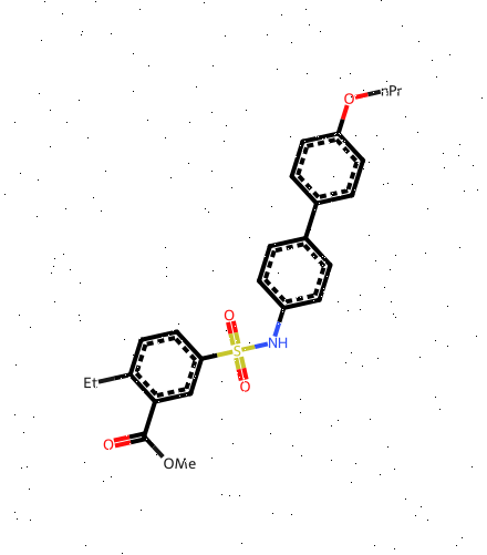 CCCOc1ccc(-c2ccc(NS(=O)(=O)c3ccc(CC)c(C(=O)OC)c3)cc2)cc1